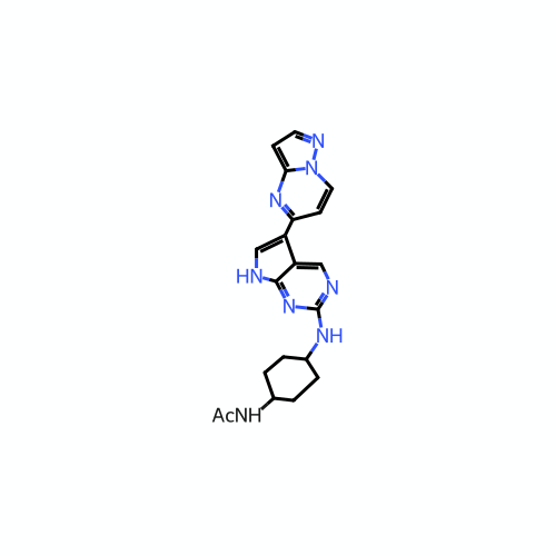 CC(=O)NC1CCC(Nc2ncc3c(-c4ccn5nccc5n4)c[nH]c3n2)CC1